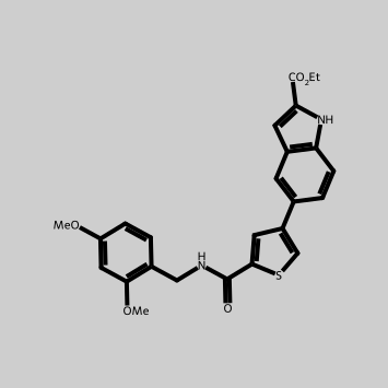 CCOC(=O)c1cc2cc(-c3csc(C(=O)NCc4ccc(OC)cc4OC)c3)ccc2[nH]1